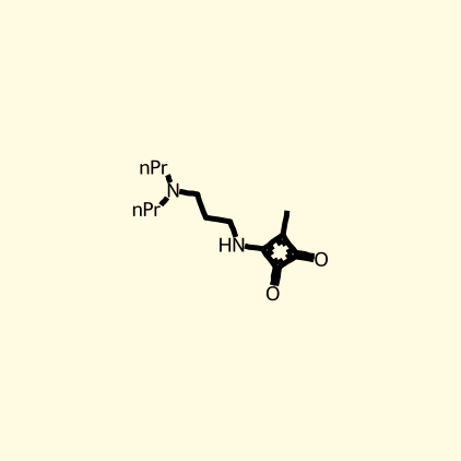 CCCN(CCC)CCCNc1c(C)c(=O)c1=O